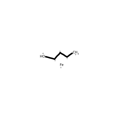 CCCCO.[Fe]